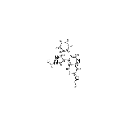 CCOc1ccc2c(-c3cn(CC)nc3-c3ccccc3)ncnc2c1